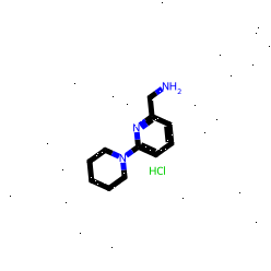 Cl.NCc1cccc(N2CCCCC2)n1